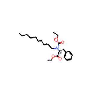 CCCCCCCCCCN(C(=O)OCC)[C@@H](Cc1ccccc1)C(=O)OCC